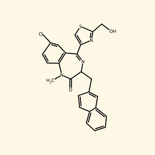 CN1C(=O)C(Cc2ccc3ccccc3c2)N=C(c2csc(CO)n2)c2cc(Cl)ccc21